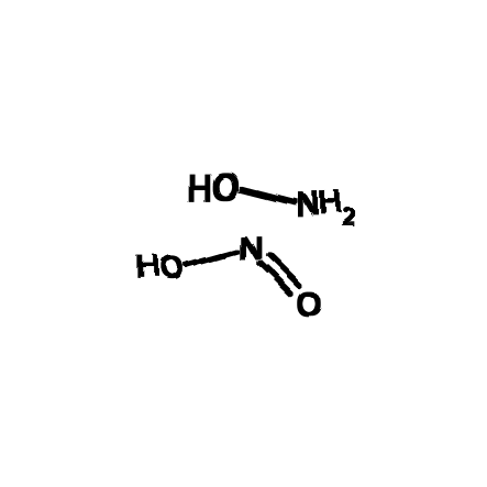 NO.O=NO